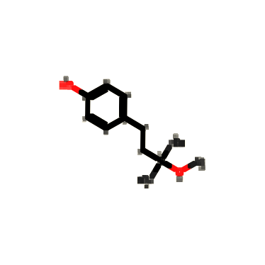 CCCC[Si](CCCC)(CCc1ccc(O)cc1)OCC